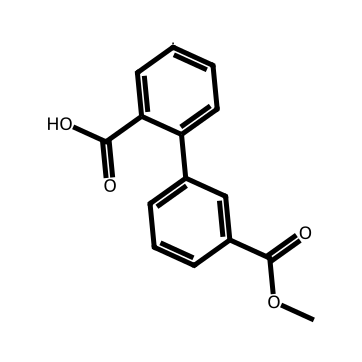 COC(=O)c1cccc(-c2cc[c]cc2C(=O)O)c1